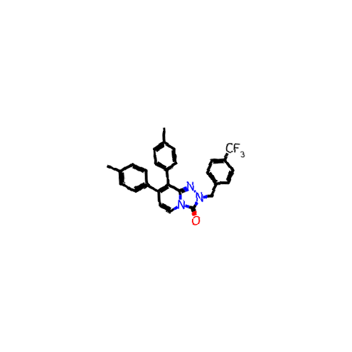 Cc1ccc(-c2ccn3c(=O)n(Cc4ccc(C(F)(F)F)cc4)nc3c2-c2ccc(C)cc2)cc1